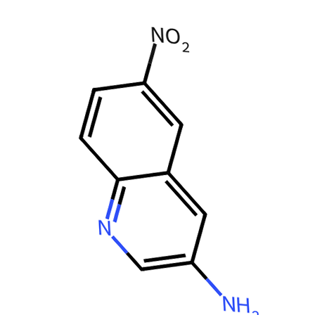 Nc1cnc2ccc([N+](=O)[O-])cc2c1